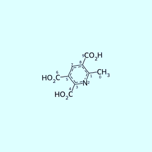 Cc1nc(C(=O)O)c(C(=O)O)cc1C(=O)O